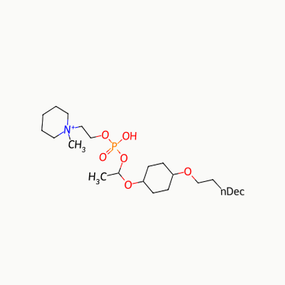 CCCCCCCCCCCCOC1CCC(OC(C)OP(=O)(O)OCC[N+]2(C)CCCCC2)CC1